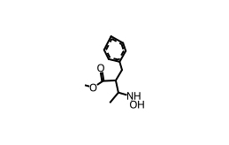 COC(=O)C(Cc1ccccc1)C(C)NO